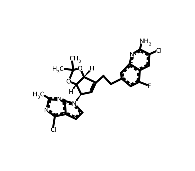 Cc1nc(Cl)c2ccn([C@@H]3C=C(CCc4cc(F)c5cc(Cl)c(N)nc5c4)[C@H]4OC(C)(C)O[C@H]43)c2n1